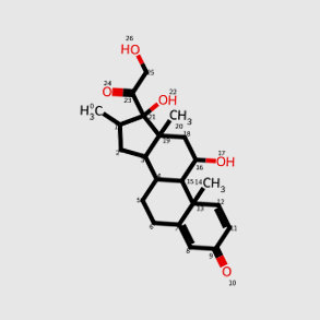 CC1CC2C3CCC4=CC(=O)C=CC4(C)C3C(O)CC2(C)C1(O)C(=O)CO